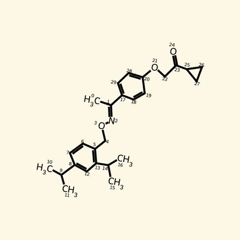 C/C(=N\OCc1ccc(C(C)C)cc1C(C)C)c1ccc(OCC(=O)C2CC2)cc1